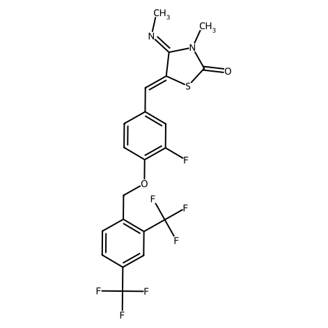 CN=C1C(=Cc2ccc(OCc3ccc(C(F)(F)F)cc3C(F)(F)F)c(F)c2)SC(=O)N1C